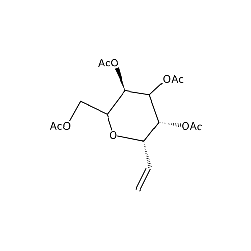 C=C[C@@H]1OC(COC(C)=O)[C@@H](OC(C)=O)C(OC(C)=O)[C@@H]1OC(C)=O